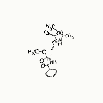 COC(=O)[C@H](CC=CC[C@H](NC(=O)c1ccccc1)C(=O)OC)NC(C)=O